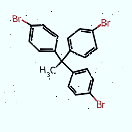 CC(c1ccc(Br)cc1)(c1ccc(Br)cc1)c1ccc(Br)cc1